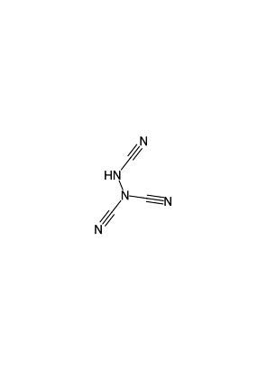 N#CNN(C#N)C#N